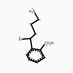 CCOC(=O)c1ccccc1C(CC)CCCN